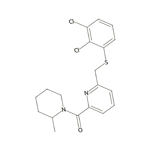 CC1CCCCN1C(=O)c1cccc(CSc2cccc(Cl)c2Cl)n1